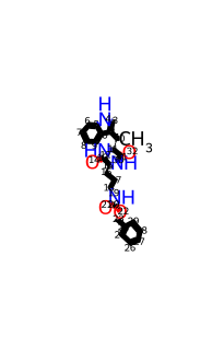 CC(c1c[nH]c2ccccc12)[C@H]1NC(=O)[C@H](CCCNC(=O)OCc2ccccc2)NC1=O